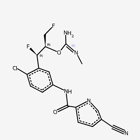 C/N=C(/N)O[C@H](CF)[C@H](F)c1cc(NC(=O)c2ccc(C#N)cn2)ccc1Cl